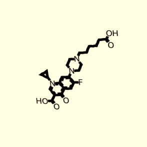 O=C(O)CCCCCN1CCN(c2cc3c(cc2F)c(=O)c(C(=O)O)cn3C2CC2)CC1